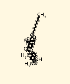 CCCCCCCCCCCCOC(=O)Cc1c(C(F)(F)F)c2cc(Cl)c(OC(=O)N(C)c3cccc4c(O)c(C(N)=O)ccc34)cc2oc1=O